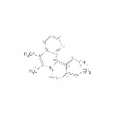 CC=C(C)C1CC=CC=C1c1nccc(=C/C)/c1=C\C